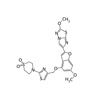 COc1cc(OCc2csc(N3CCS(=O)(=O)CC3)n2)c2cc(-c3cn4nc(OC)sc4n3)oc2c1